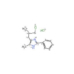 Cc1[nH]c(-c2ccccc2)nc1CC(C)CCl.Cl